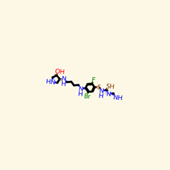 N=C/N=C(\S)NSc1cc(Br)c(NCCCCN[C@@H]2CNC[C@H]2O)cc1F